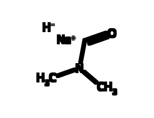 CN(C)C=O.[H-].[Na+]